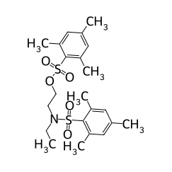 CCN(CCOS(=O)(=O)c1c(C)cc(C)cc1C)S(=O)(=O)c1c(C)cc(C)cc1C